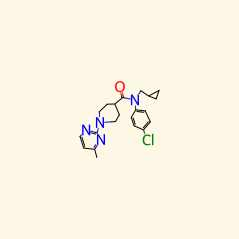 Cc1ccnc(N2CCC(C(=O)N(CC3CC3)c3ccc(Cl)cc3)CC2)n1